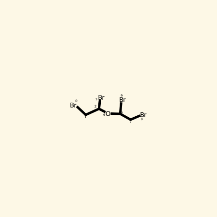 BrCC(Br)OC(Br)CBr